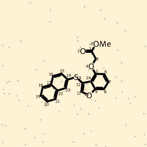 COC(=O)COc1cccc2occ(Sc3ccc4ccccc4c3)c12